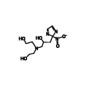 O=[N+]([O-])C1(CC(O)CN(CCO)CCO)N=CC=N1